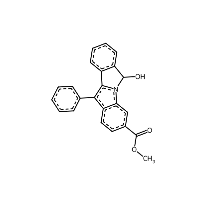 COC(=O)c1ccc2c(-c3ccccc3)c3n(c2c1)C(O)c1ccccc1-3